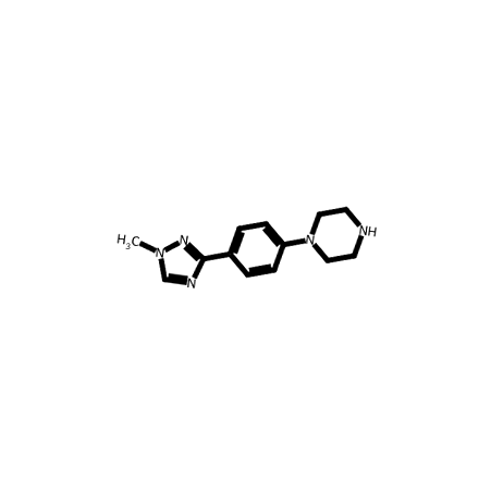 Cn1cnc(-c2ccc(N3CCNCC3)cc2)n1